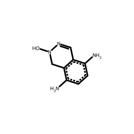 Nc1ccc(N)c2c1C=NN(O)C2